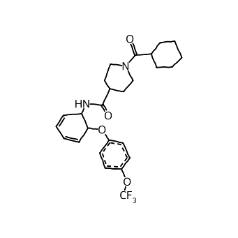 O=C(NC1C=CC=CC1Oc1ccc(OC(F)(F)F)cc1)C1CCN(C(=O)C2CCCCC2)CC1